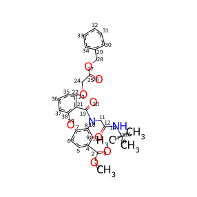 COC(=O)c1ccc2c(c1)N(CC(=O)NC(C)(C)C)C(=O)c1c(OCC(=O)OCc3ccccc3)cccc1O2